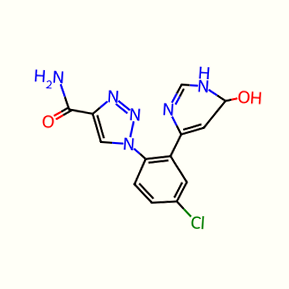 NC(=O)c1cn(-c2ccc(Cl)cc2C2=CC(O)NC=N2)nn1